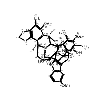 COc1ccc2[nH]c3c(c2c1)C[C@@H](CO)N[C@]31CS[C@@H]2c3c(OC(C)=O)c(C)c4c(c3[C@H](COC1=O)N1C2[C@H]2c3c(cc(C)c(OC)c3O)C3(C)C[C@H]([C@@H]1O)N23)OCO4